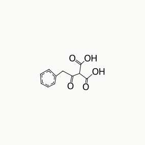 O=C(O)C(C(=O)O)C(=O)Cc1ccccc1